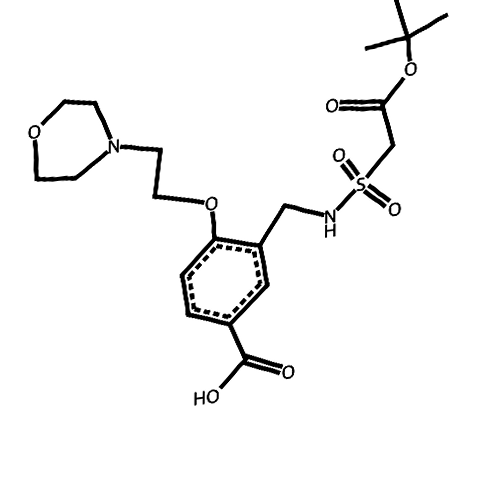 CC(C)(C)OC(=O)CS(=O)(=O)NCc1cc(C(=O)O)ccc1OCCN1CCOCC1